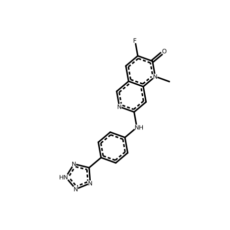 Cn1c(=O)c(F)cc2cnc(Nc3ccc(-c4nn[nH]n4)cc3)cc21